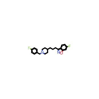 Fc1ccc(CN2CCC(CCCc3noc4cc(F)ccc34)CC2)cc1